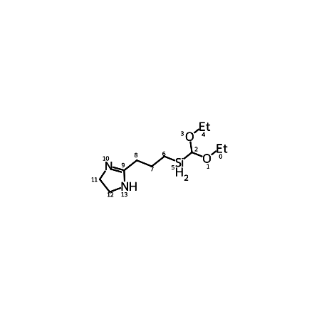 CCOC(OCC)[SiH2]CCCC1=NCCN1